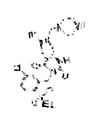 CCS(=O)(=O)c1ccc(Cl)cc1Cn1c(=O)[nH]c2cc(CN3CCNCC3)c(Br)cc2c1=O